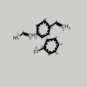 C=CC#N.C=Cc1ccccc1.CCc1ccccc1